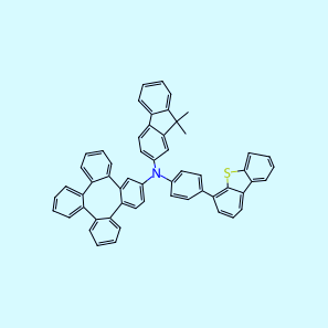 CC1(C)c2ccccc2-c2ccc(N(c3ccc(-c4cccc5c4sc4ccccc45)cc3)c3ccc4c(c3)-c3ccccc3-c3ccccc3-c3ccccc3-4)cc21